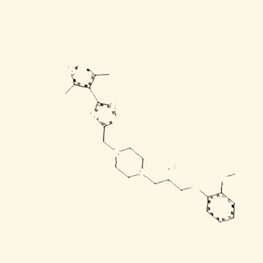 COc1ccccc1OC[C@@H](O)CN1CCN(Cc2nc(-c3c(C)noc3C)no2)CC1